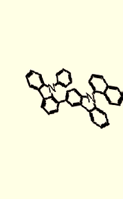 c1ccc(-n2c3ccccc3c3cccc(-c4ccc5c(c4)c4ccccc4n5-c4cccc5ccccc45)c32)cc1